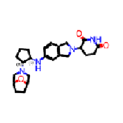 O=C1CCC(N2Cc3ccc(N[C@@H]4CCC[C@H]4N4CC5CCC(C4)O5)cc3C2)C(=O)N1